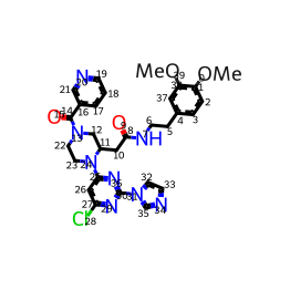 COc1ccc(CCNC(=O)CC2CN(C(=O)c3cccnc3)CCN2c2cc(Cl)nc(-n3ccnc3)n2)cc1OC